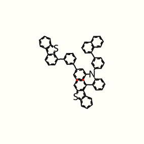 c1cc(-c2cccc(N(c3cccc(-c4cccc5ccccc45)c3)c3ccccc3-c3cccc4sc5ccccc5c34)c2)cc(-c2cccc3c2sc2ccccc23)c1